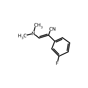 CN(C)C=C(C#N)c1cccc(F)c1